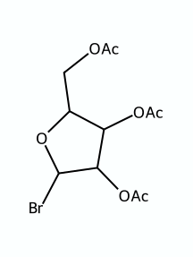 CC(=O)OCC1OC(Br)C(OC(C)=O)C1OC(C)=O